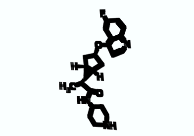 CC(C(=O)NC1CCNCC1)[C@@H]1[C@@H]2C[C@@H](Oc3ccnc4ccc(F)cc34)C[C@@H]21